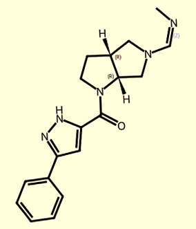 C/N=C\N1C[C@H]2CCN(C(=O)c3cc(-c4ccccc4)n[nH]3)[C@H]2C1